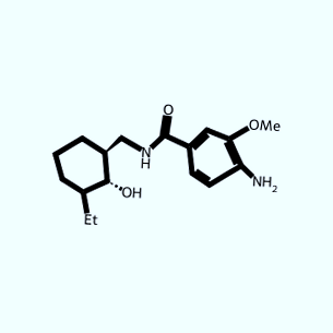 CCC1CCC[C@@H](CNC(=O)c2ccc(N)c(OC)c2)[C@@H]1O